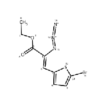 CCOC(=O)C(=Cc1ccc(Br)s1)N=[N+]=[N-]